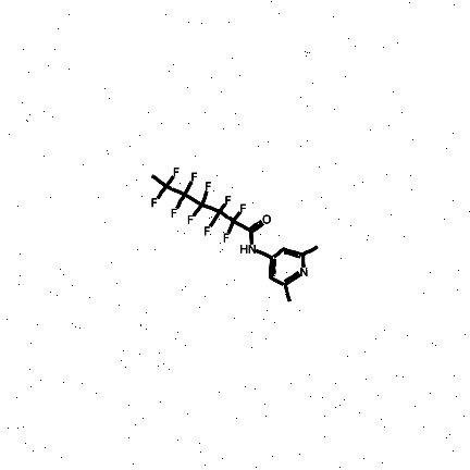 Cc1cc(NC(=O)C(F)(F)C(F)(F)C(F)(F)C(F)(F)C(C)(F)F)cc(C)n1